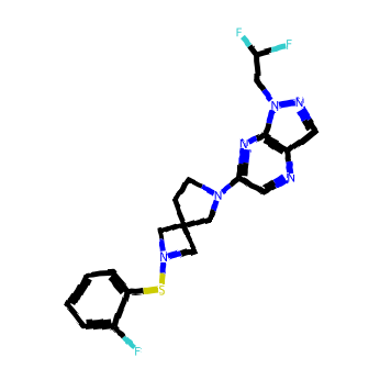 Fc1ccccc1SN1CC2(CCN(c3cnc4cnn(CC(F)F)c4n3)C2)C1